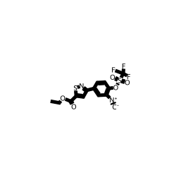 [C-]#[N+]c1cc(-c2cc(C(=O)OCC)sn2)ccc1OS(=O)(=O)C(F)(F)F